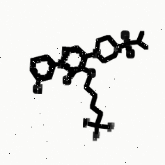 CC(C)S(=O)(=O)N1CCN(c2cnn(-c3cccc(Cl)c3)c(=O)c2OCCCCC(F)(F)F)CC1